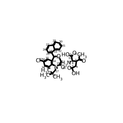 CC(=O)C(CC(=O)O)[C@H](N)C(=O)O.CC(C)(C)CN1C(=O)COC(c2cccc3ccccc23)c2cc(Cl)ccc21